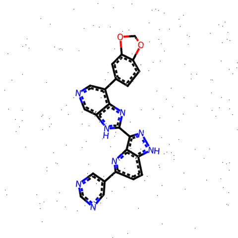 c1ncc(-c2ccc3[nH]nc(-c4nc5c(-c6ccc7c(c6)OCO7)cncc5[nH]4)c3n2)cn1